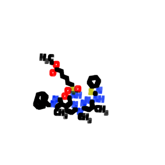 CCOC(=O)CCCCCS(=O)(=O)NC(=O)c1nc(N(C)c2cc(C)c(Nc3nc4ccccc4s3)nn2)ccc1-c1cnn(CC23CC4CC(CC(C4)C2)C3)c1C